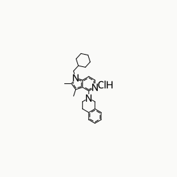 Cc1c(C)n(CC2CCCCC2)c2ccnc(N3CCc4ccccc4C3)c12.Cl